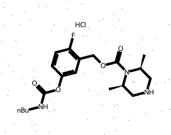 CCCCNC(=O)Oc1ccc(F)c(COC(=O)N2[C@H](C)CNC[C@@H]2C)c1.Cl